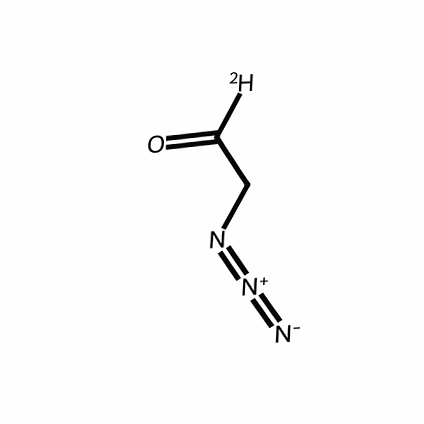 [2H]C(=O)CN=[N+]=[N-]